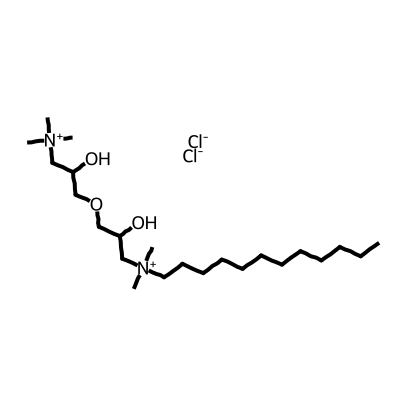 CCCCCCCCCCCC[N+](C)(C)CC(O)COCC(O)C[N+](C)(C)C.[Cl-].[Cl-]